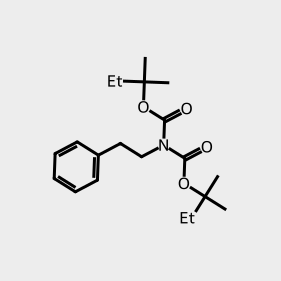 CCC(C)(C)OC(=O)N(CCc1ccccc1)C(=O)OC(C)(C)CC